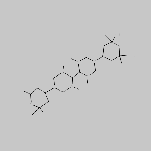 CC1CC(N2CN(C)C(C3N(C)CN(C4CC(C)(C)NC(C)(C)C4)CN3C)N(C)C2)CC(C)(C)N1